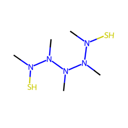 CN(S)N(C)N(C)N(C)N(C)S